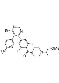 CCc1ncnc(-c2cc(F)c(C(=O)N3CCN(C(C)COC)CC3)c(F)c2)c1-c1ccc(N)nc1